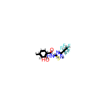 Cc1ccc(C(=O)Nc2nc(C(F)(F)C(F)(F)F)ns2)c(O)c1